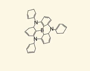 C1=CCCC(N2c3cccc4c3B3C5=C(C=CCC5N4C4=CCCC=C4)N(C4C=CC=CC4)C4=CC=CC2C34)=C1